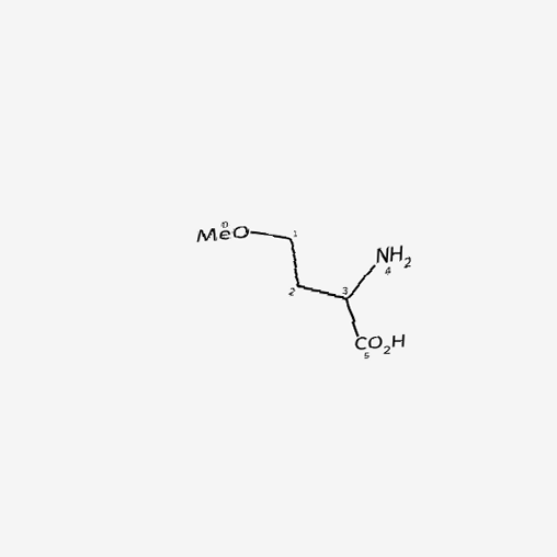 COCCC(N)C(=O)O